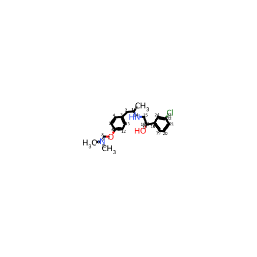 CC(Cc1ccc(OCN(C)C)cc1)NC[C@H](O)c1cccc(Cl)c1